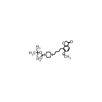 COc1ccc2c(c1CCCCN1CCN(C(=O)OC(C)(C)C)CC1)OCC2=O